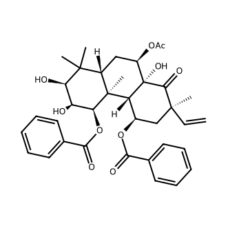 C=C[C@@]1(C)C[C@@H](OC(=O)c2ccccc2)[C@H]2[C@](O)(C1=O)[C@H](OC(C)=O)C[C@H]1C(C)(C)[C@H](O)[C@H](O)[C@H](OC(=O)c3ccccc3)[C@@]12C